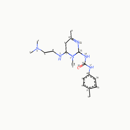 CCN1C(NCCN(C)C)CC(C)=NC1NC(=O)Nc1ccc(C)cc1